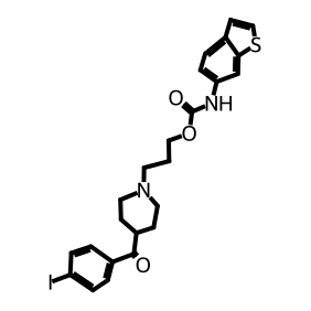 O=C(Nc1ccc2ccsc2c1)OCCCN1CCC(C(=O)c2ccc(I)cc2)CC1